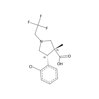 C[C@]1(C(=O)O)CN(CC(F)(F)F)C[C@H]1c1ccccc1Cl